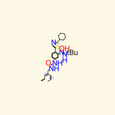 C=C/C=C(\C=C/C)CNC(=O)Nc1ccc(-c2cnc(C3CCCCC3)s2)c(N(O)NC(C)(C)C)c1